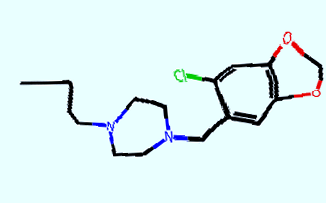 CCCN1CCN(Cc2cc3c(cc2Cl)OCO3)CC1